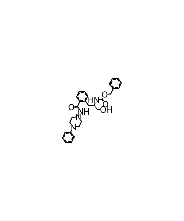 O=C(N[C@@H](CO)Cc1ccccc1C(=O)NN1CCN(c2ccccc2)CC1)OCc1ccccc1